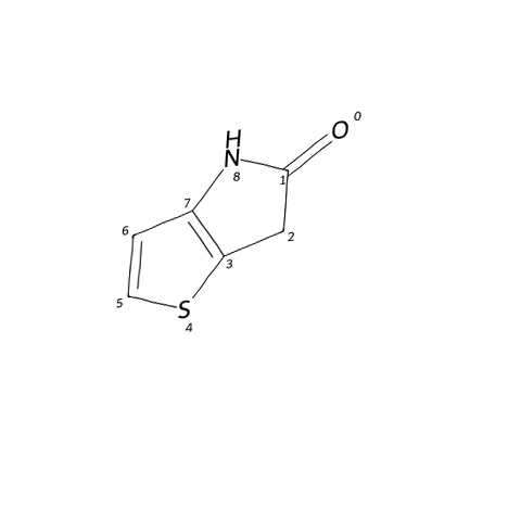 O=C1Cc2sccc2N1